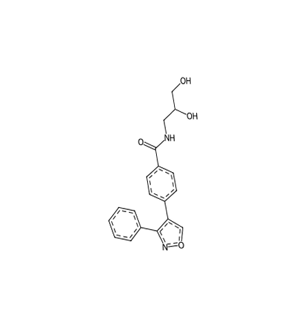 O=C(NCC(O)CO)c1ccc(-c2conc2-c2ccccc2)cc1